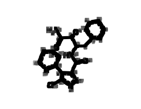 NC(=O)C(=O)C(Cc1ccccc1)NC(=O)c1snc(Cl)c1-c1ccccn1